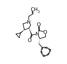 C=CCN1C[C@H](C2CC2)[C@H](C(=O)N2C(=O)OC[C@@H]2Cc2ccccc2)C1